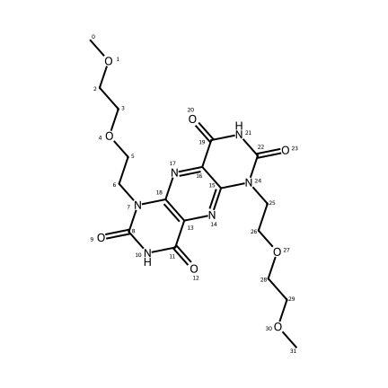 COCCOCCn1c(=O)[nH]c(=O)c2nc3c(nc21)c(=O)[nH]c(=O)n3CCOCCOC